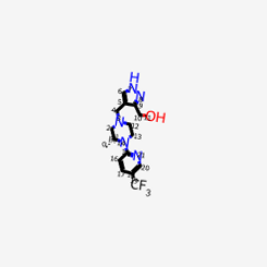 C[C@@H]1CN(Cc2c[nH]nc2CO)CCN1c1ccc(C(F)(F)F)cn1